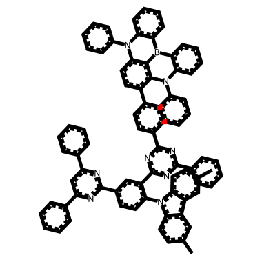 Cc1ccc2c(c1)c1cc(C)ccc1n2-c1ccc(-c2nc(-c3ccccc3)cc(-c3ccccc3)n2)cc1-c1nc(-c2ccccc2)nc(-c2ccc(-c3ccc4c5c3N(c3ccccc3)c3ccccc3B5c3ccccc3N4c3ccccc3)cc2)n1